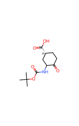 CC(C)(C)OC(=O)NC1C[C@H](C(=O)O)CCC1=O